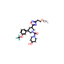 COCCc1noc(C2CC(c3cccc(OC(F)(F)F)c3)CN(C(=O)N3CCC(O)CC3)C2)n1